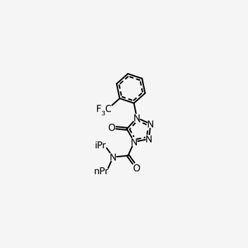 CCCN(C(=O)n1nnn(-c2ccccc2C(F)(F)F)c1=O)C(C)C